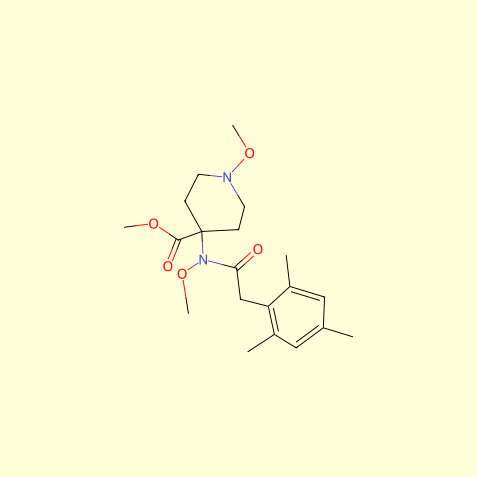 COC(=O)C1(N(OC)C(=O)Cc2c(C)cc(C)cc2C)CCN(OC)CC1